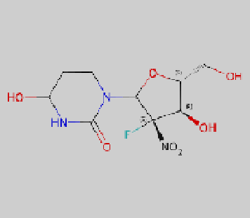 O=C1NC(O)CCN1C1O[C@H](CO)[C@@H](O)[C@@]1(F)[N+](=O)[O-]